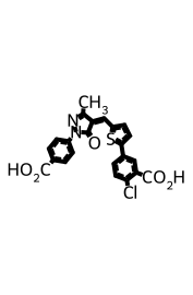 CC1=NN(c2ccc(C(=O)O)cc2)C(=O)/C1=C\c1ccc(-c2ccc(Cl)c(C(=O)O)c2)s1